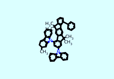 CC1C=c2c(c3ccccc3n2-c2cc(-n3c4ccccc4c4ccccc43)cc3c2-c2cc4c(cc2C3(C)C)-c2c(-c3ccccc3)cccc2C4(C)C)=CC1